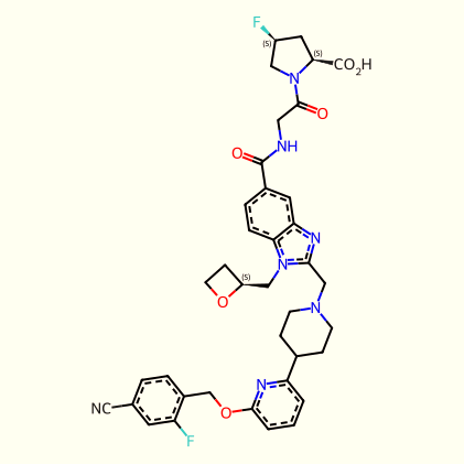 N#Cc1ccc(COc2cccc(C3CCN(Cc4nc5cc(C(=O)NCC(=O)N6C[C@@H](F)C[C@H]6C(=O)O)ccc5n4C[C@@H]4CCO4)CC3)n2)c(F)c1